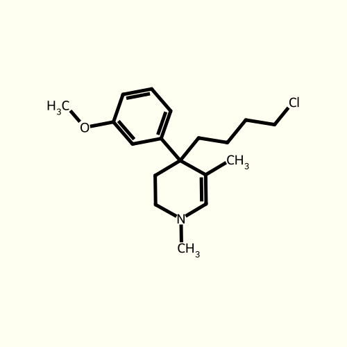 COc1cccc(C2(CCCCCl)CCN(C)C=C2C)c1